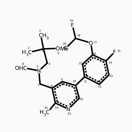 COC(C)(C)CN(C=O)Cc1cc(-c2ccc(F)c(OC(F)F)c2)cnc1C